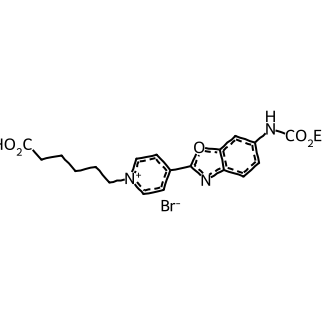 CCOC(=O)Nc1ccc2nc(-c3cc[n+](CCCCCC(=O)O)cc3)oc2c1.[Br-]